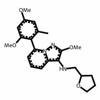 COc1cc(C)c(-c2cccc3c(NCC4CCCO4)c(OC)nn23)c(OC)c1